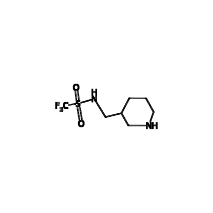 O=S(=O)(NCC1CCCNC1)C(F)(F)F